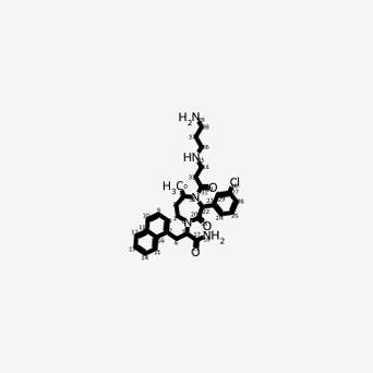 CC1CCN(C(Cc2cccc3ccccc23)C(N)=O)C(=O)C(c2cccc(Cl)c2)N1C(=O)CCNCCCN